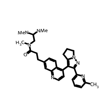 CNC(CN(C)C(=O)CCc1ccc2c(-c3c(-c4cccc(C)n4)nn4c3CCC4)ccnc2c1)NC